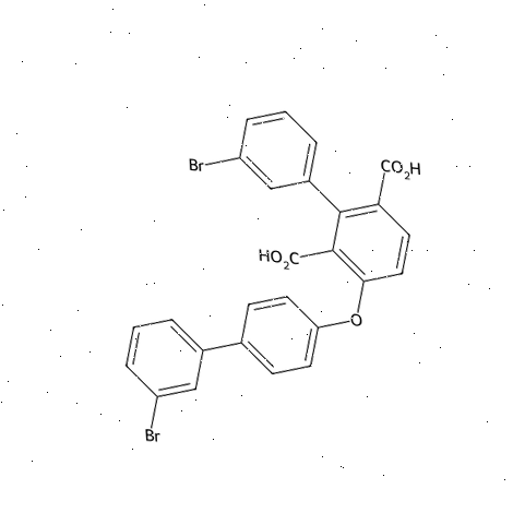 O=C(O)c1ccc(Oc2ccc(-c3cccc(Br)c3)cc2)c(C(=O)O)c1-c1cccc(Br)c1